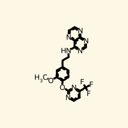 COc1cc(CCNc2ncnc3nccnc23)ccc1Oc1nccc(C(F)(F)F)n1